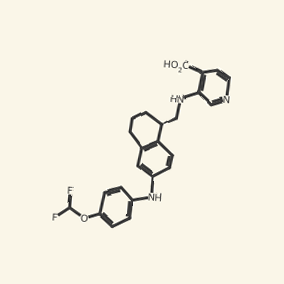 O=C(O)c1ccncc1NC[C@@H]1CCCc2cc(Nc3ccc(OC(F)F)cc3)ccc21